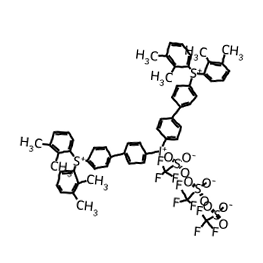 Cc1cccc([S+](c2ccc(-c3ccc([I+]c4ccc(-c5ccc([S+](c6cccc(C)c6C)c6cccc(C)c6C)cc5)cc4)cc3)cc2)c2cccc(C)c2C)c1C.O=S(=O)([O-])C(F)(F)F.O=S(=O)([O-])C(F)(F)F.O=S(=O)([O-])C(F)(F)F